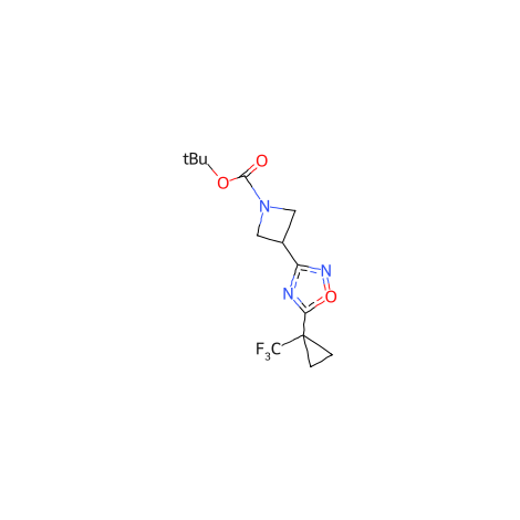 CC(C)(C)OC(=O)N1CC(c2noc(C3(C(F)(F)F)CC3)n2)C1